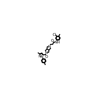 Cc1ccc(-n2nc(C)cc2C(=O)N2CC3CN(CCC(=O)Nc4ccc(C)c(Cl)c4)CC3C2)cc1